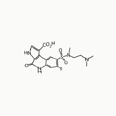 CN(C)CCN(C)S(=O)(=O)c1cc2c(cc1F)[nH]c(=O)c1[nH]cc(C(=O)O)c12